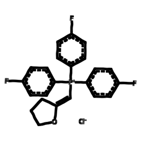 Fc1ccc([P+](C=C2CCCO2)(c2ccc(F)cc2)c2ccc(F)cc2)cc1.[Cl-]